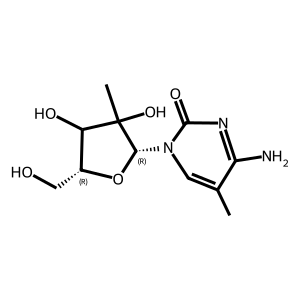 Cc1cn([C@@H]2O[C@H](CO)C(O)C2(C)O)c(=O)nc1N